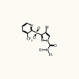 CCN(CC)C(=O)n1cc(Br)c(S(=O)(=O)c2ncccc2C(F)(F)F)n1